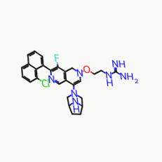 N=C(N)NCCON1C=C(N2CC3CCC(C2)N3)c2cnc(-c3cccc4cccc(Cl)c34)c(F)c2C1